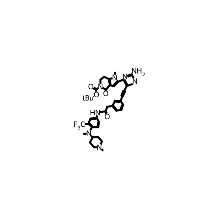 CN1CCC(N(C)c2ccc(NC(=O)Cc3cccc(C#Cc4cnc(N)nc4-c4cc5c(n4C)CCN(C(=O)OC(C)(C)C)C5=O)c3)cc2C(F)(F)F)CC1